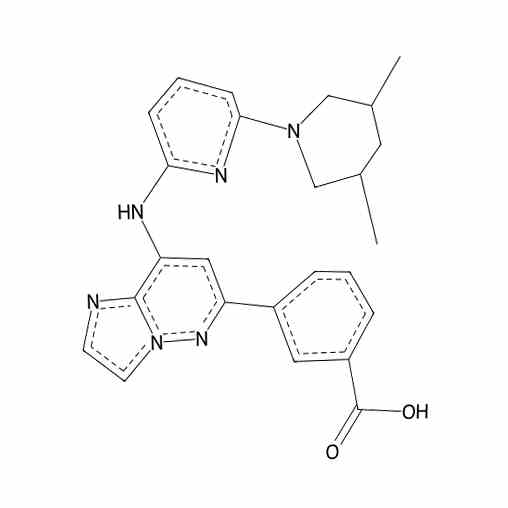 CC1CC(C)CN(c2cccc(Nc3cc(-c4cccc(C(=O)O)c4)nn4ccnc34)n2)C1